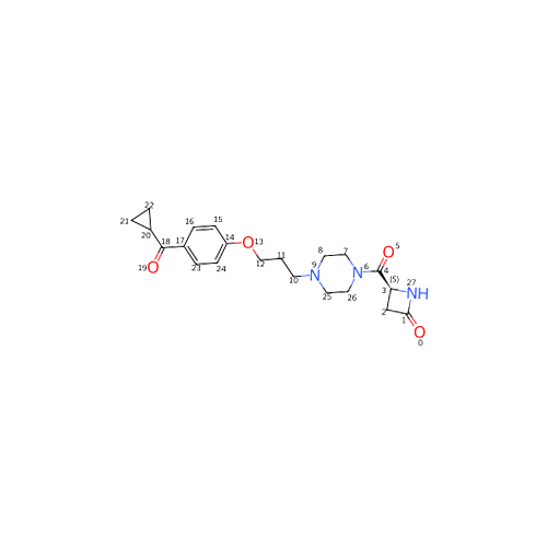 O=C1C[C@@H](C(=O)N2CCN(CCCOc3ccc(C(=O)C4CC4)cc3)CC2)N1